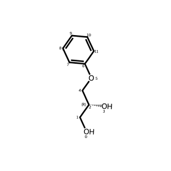 OC[C@@H](O)COc1c[c]ccc1